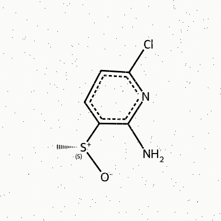 C[S@@+]([O-])c1ccc(Cl)nc1N